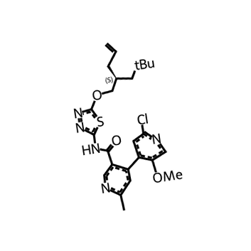 C=CC[C@H](COc1nnc(NC(=O)c2cnc(C)cc2-c2cc(Cl)ncc2OC)s1)CC(C)(C)C